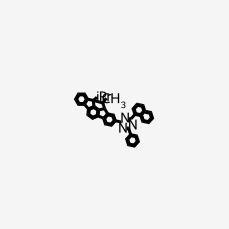 CC(C)C12c3ccccc3-c3ccc4c(c31)C(c1cc(-c3nc(-c5ccccc5)nc(-c5cccc6ccccc56)n3)ccc1-4)C2C